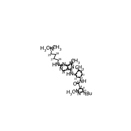 Cc1ccc(NC(=O)c2cc(C(C)(C)C)nn2C)cc1Nc1nn(C)c2nc(NCCCCN(C)C)ncc12